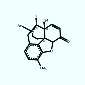 CC(=O)Oc1ccc2c3c1OC1C(=O)C=C[C@@]4(O)[C@@H](C2)N(C(C)=O)CC[C@]314